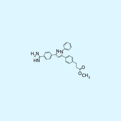 COC(=O)CCc1ccc(-c2cc(-c3ccc(C(=N)N)cc3)nn2-c2ccccc2)cc1